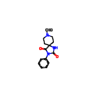 O=CN1CCC2(CC1)NC(=O)N(c1ccccc1)C2=O